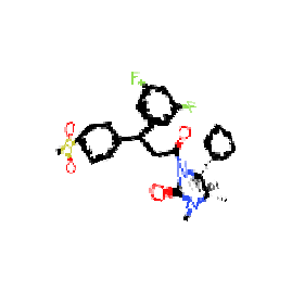 C[C@H]1[C@@H](c2ccccc2)N(C(=O)CC(c2ccc(S(C)(=O)=O)cc2)c2cc(F)cc(F)c2)C(=O)N1C